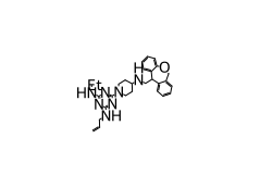 C=CCNc1nc(NCC)nc(N2CCC(NCC3c4ccccc4COc4ccccc43)CC2)n1